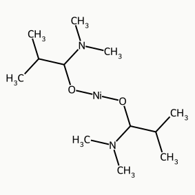 CC(C)C([O][Ni][O]C(C(C)C)N(C)C)N(C)C